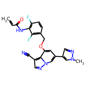 C=CC(=O)Nc1c(F)ccc(COc2cc(-c3cnn(C)c3)cn3ncc(C#N)c23)c1F